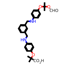 CC(C)(OC=O)Oc1ccc(NCc2cccc(CNc3ccc(OC(C)(C)C(=O)O)cc3)c2)cc1